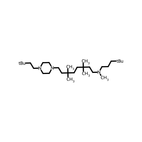 CN(CCCC(C)(C)C)CCC(C)(C)CCC(C)(C)CCN1CCN(CCC(C)(C)C)CC1